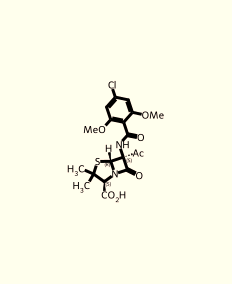 COc1cc(Cl)cc(OC)c1C(=O)N[C@@]1(C(C)=O)C(=O)N2[C@@H](C(=O)O)C(C)(C)S[C@@H]21